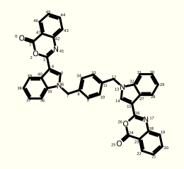 O=c1oc(-c2cn(Cc3ccc(Cn4cc(-c5nc6ccccc6c(=O)o5)c5ccccc54)cc3)c3ccccc23)nc2ccccc12